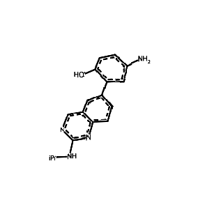 CC(C)Nc1ncc2cc(-c3cc(N)ccc3O)ccc2n1